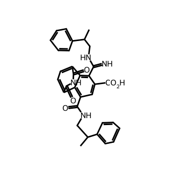 CC(CNC(=N)c1c(C(=O)O)cc(C(=O)NCC(C)c2ccccc2)c2c3ccc(c(=O)[nH]c3=O)c12)c1ccccc1